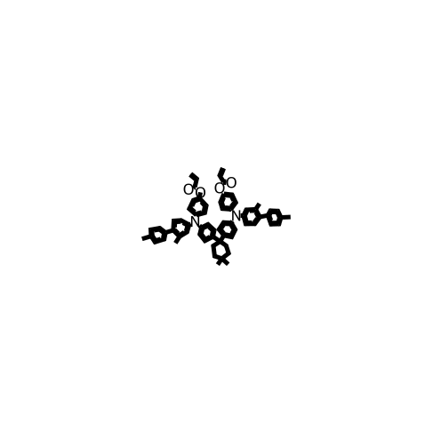 C=CC(=O)Oc1ccc(N(c2ccc(C3(c4ccc(N(c5ccc(OC(=O)C=C)cc5)c5ccc(-c6ccc(C)cc6)c(C)c5)cc4)CCC(C)(C)CC3)cc2)c2ccc(-c3ccc(C)cc3)c(C)c2)cc1